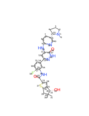 CN1CCC[C@H]1c1ccc(Nc2cc(-c3ccc(F)c(NC(=O)c4cc5c(s4)CC(C)(C)[C@H]5O)c3)n[nH]c2=O)nc1